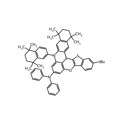 CC(C)(C)c1ccc2c3c(sc2c1)B1c2cc4c(cc2N(c2ccc5c(c2)C(C)(C)CCC5(C)C)c2cc(N(c5ccccc5)c5ccccc5)cc(c21)O3)C(C)(C)CCC4(C)C